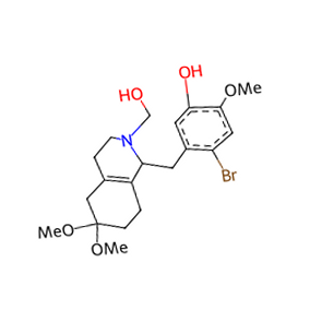 COc1cc(Br)c(CC2C3=C(CCN2CO)CC(OC)(OC)CC3)cc1O